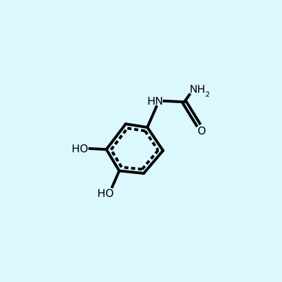 NC(=O)Nc1ccc(O)c(O)c1